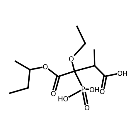 CCOC(C(=O)OC(C)CC)(C(C)C(=O)O)P(=O)(O)O